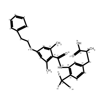 Cc1cc(OCCc2ccccc2)cc(C)c1C(=O)Nc1cc(CC(C)C(=O)O)ccc1C(F)(F)F